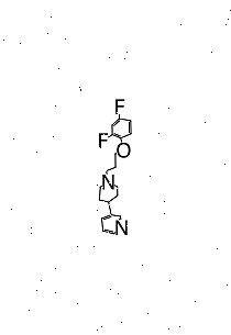 Fc1ccc(OCCCN2CCC(c3cccnc3)CC2)c(F)c1